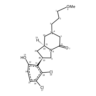 COCCCN1CC(=O)N2C[C@@H](c3c(O)ccc(Cl)c3Cl)C[C@H]2C1